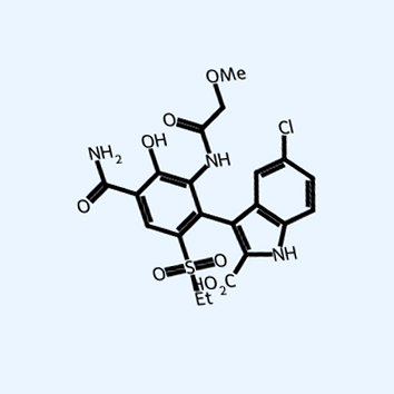 CCS(=O)(=O)c1cc(C(N)=O)c(O)c(NC(=O)COC)c1-c1c(C(=O)O)[nH]c2ccc(Cl)cc12